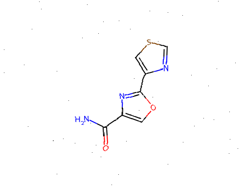 NC(=O)c1coc(-c2cscn2)n1